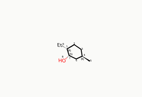 CC[C@@H]1CC[C@@H](C)C[C@@H]1O